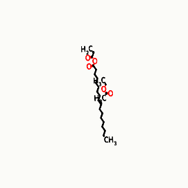 C=CC(=O)OC(=O)CCCCCCCC=CCCCCCCCC.CCOC(C)=O